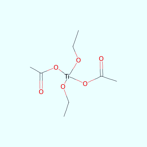 CC[O][Ti]([O]CC)([O]C(C)=O)[O]C(C)=O